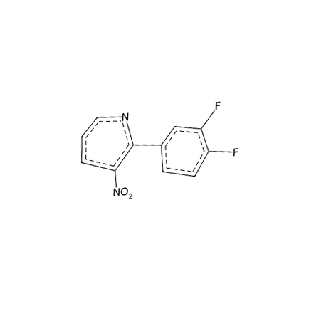 O=[N+]([O-])c1cccnc1-c1ccc(F)c(F)c1